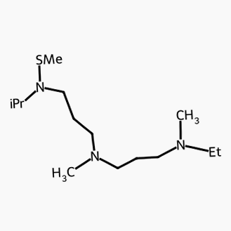 CCN(C)CCCN(C)CCCN(SC)C(C)C